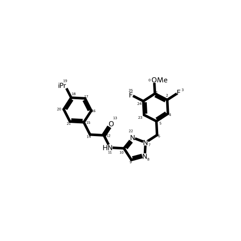 COc1c(F)cc(Cn2ncc(NC(=O)Cc3ccc(C(C)C)cc3)n2)cc1F